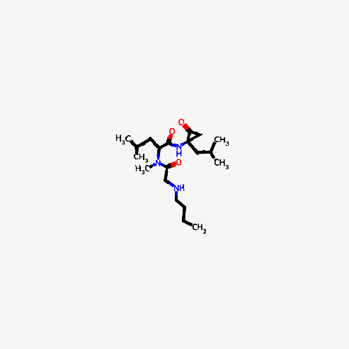 CCCCNCC(=O)N(C)C(CC(C)C)C(=O)NC1(CC(C)C)CC1=O